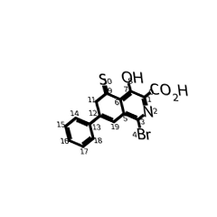 O=C(O)c1nc(Br)c2c(c1O)C(=S)CC(c1ccccc1)=C2